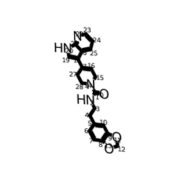 O=C(NCCc1ccc2c(c1)OCO2)N1CC=C(c2c[nH]c3ncccc23)CC1